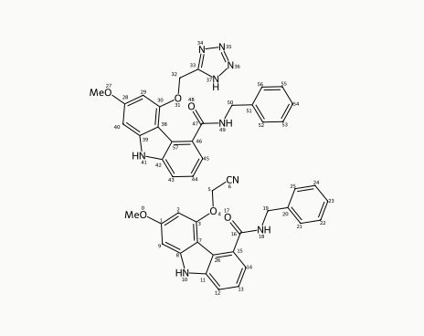 COc1cc(OCC#N)c2c(c1)[nH]c1cccc(C(=O)NCc3ccccc3)c12.COc1cc(OCc2nnn[nH]2)c2c(c1)[nH]c1cccc(C(=O)NCc3ccccc3)c12